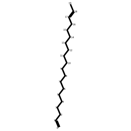 C=CCCCCCCCCCCCCCCCC=CC